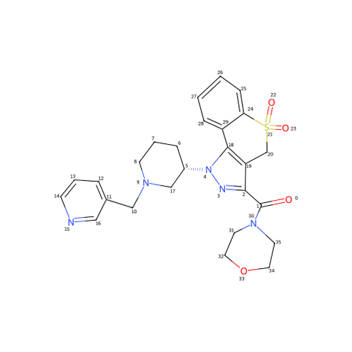 O=C(c1nn([C@H]2CCCN(Cc3cccnc3)C2)c2c1CS(=O)(=O)c1ccccc1-2)N1CCOCC1